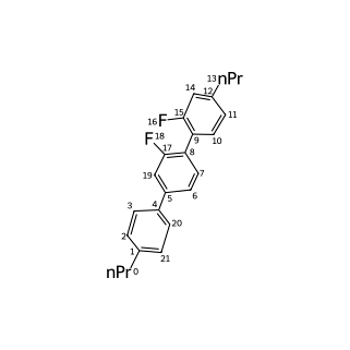 CCCc1ccc(-c2ccc(-c3ccc(CCC)cc3F)c(F)c2)cc1